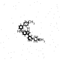 CN1CCN(c2cccc(Nc3ccc4c(-c5ccnc(N6CCN(C)CC6)c5)c[nH]c4n3)c2)CC1